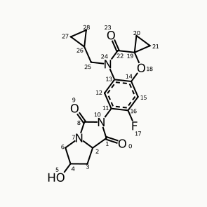 O=C1C2CC(O)CN2C(=O)N1c1cc2c(cc1F)OC1(CC1)C(=O)N2CC1CC1